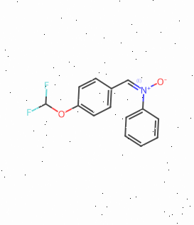 [O-]/[N+](=C/c1ccc(OC(F)F)cc1)c1ccccc1